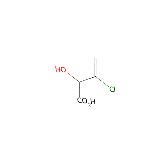 C=C(Cl)C(O)C(=O)O